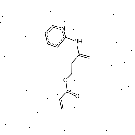 C=CC(=O)OCCC(=C)Nc1ccccn1